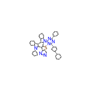 c1ccc(-c2ccc(-c3nc(-c4ccccc4)nc(-n4c5ccccc5c5c6c7ccccc7n(-c7ccccc7)c6c6c7ncncc7sc6c54)n3)cc2)cc1